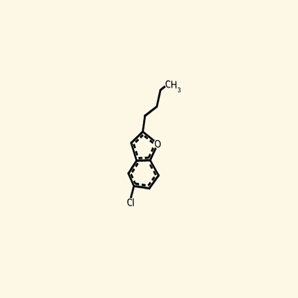 CCCCc1cc2cc(Cl)ccc2o1